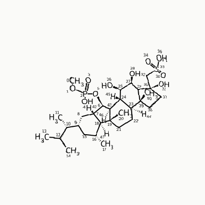 COP(=O)(O)O[C@@H]1[C@H]2C[C@@H]([C@@H](C)C(C)C)C[C@@H](C)[C@@H]2[C@@]2(C)CC[C@H]3[C@@H]([C@@H](O)[C@@H](O)C4[C@](O)(CS(=O)(=O)O)CC[C@@]43C)[C@H]12